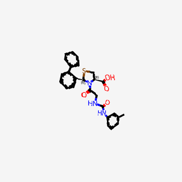 Cc1cccc(NC(=O)NCC(=O)N2[C@@H](c3ccccc3-c3ccccc3)SC[C@H]2C(=O)O)c1